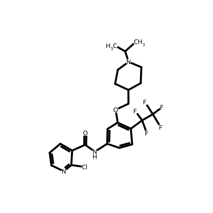 CC(C)N1CCC(COc2cc(NC(=O)c3cccnc3Cl)ccc2C(F)(F)C(F)(F)F)CC1